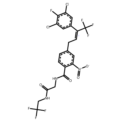 O=C(CNC(=O)c1ccc(C/C=C(\c2cc(Cl)c(F)c(Cl)c2)C(F)(F)F)cc1[N+](=O)[O-])NCC(F)(F)F